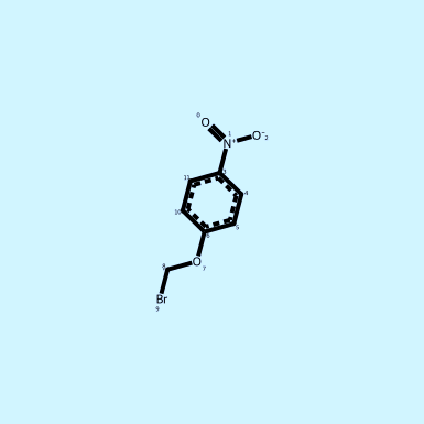 O=[N+]([O-])c1ccc(O[CH]Br)cc1